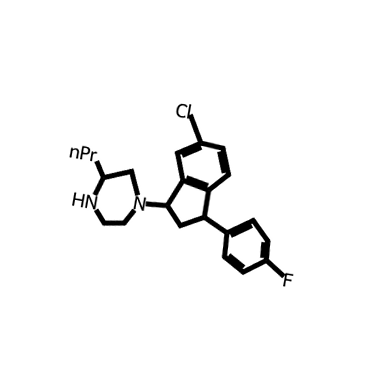 CCCC1CN(C2CC(c3ccc(F)cc3)c3ccc(Cl)cc32)CCN1